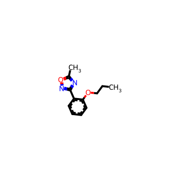 CCCOc1ccccc1-c1noc(C)n1